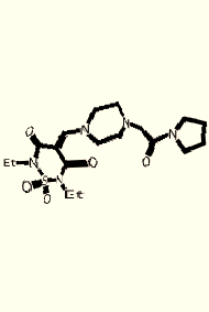 CCN1C(=O)C(=CN2CCN(CC(=O)N3CCCC3)CC2)C(=O)N(CC)S1(=O)=O